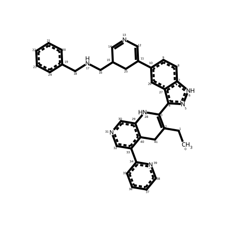 CCC1=C(c2n[nH]c3ccc(C4=CN=CC(CNCc5ccccc5)C4)cc23)Nc2cncc(-c3ccccn3)c2C1